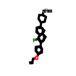 C=CCOc1ccc(-c2ccc3cc(C4CCC(CCCCCC)CC4)ccc3c2F)cc1